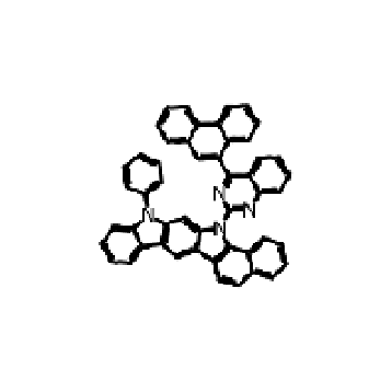 c1ccc(-n2c3ccccc3c3cc4c5ccc6ccccc6c5n(-c5nc(-c6cc7ccccc7c7ccccc67)c6ccccc6n5)c4cc32)cc1